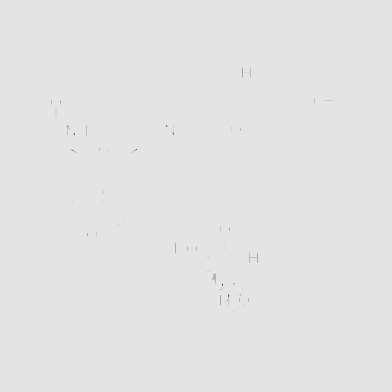 COc1cc(C(C)=O)ccc1OCCCN1CCC([C@H]2Cc3c(ccc4c3OC3(CCCCC3)O4)[C@@H](CNC=O)O2)CC1.O.O.O.O=C(O)C(=O)O